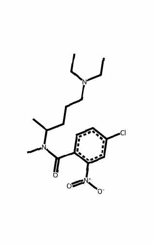 CCN(CC)CCCC(C)N(C)C(=O)c1ccc(Cl)cc1[N+](=O)[O-]